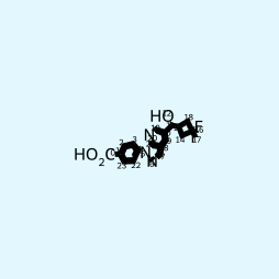 O=C(O)c1ccc(-n2ncc3cc([C@H](O)C4CC(F)(F)C4)cnc32)cc1